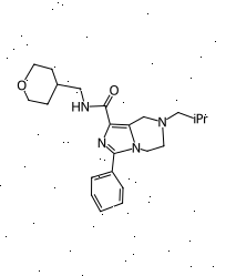 CC(C)CN1CCn2c(-c3ccccc3)nc(C(=O)NCC3CCOCC3)c2C1